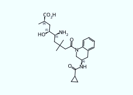 C[C@H](C[C@H](O)[C@@H](N)CC(C)(C)CC(=O)N1C[C@H](NC(=O)C2CC2)Cc2ccccc21)C(=O)O